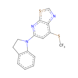 FC(F)(F)Sc1cc(N2CCc3ccccc32)nc2scnc12